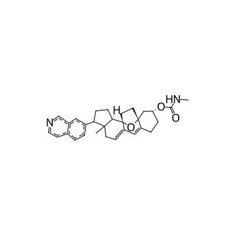 CNC(=O)O[C@@H]1CCC2=CC3=CCC4(C)C(c5ccc6ccncc6c5)CC[C@H]4[C@@]34CC[C@]2(C1)O4